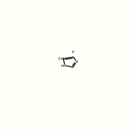 [Cs+].[F-].c1c[nH]cn1